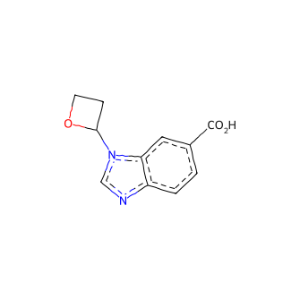 O=C(O)c1ccc2ncn(C3CCO3)c2c1